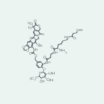 CCCCc1c2c(nc3cc4c(c(NC(=O)OCc5ccc(O[C@@H]6O[C@H](C(=O)O)[C@@H](O)[C@H](O)[C@H]6O)c(NC(=O)CCNC(=O)[C@@H](N)CCCCNC(=O)CCOC)c5)c13)OCO4)-c1cc3c(c(=O)n1C2)COC(=O)[C@]3(O)CC